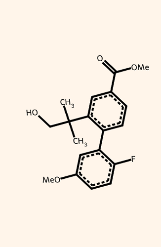 COC(=O)c1ccc(-c2cc(OC)ccc2F)c(C(C)(C)CO)c1